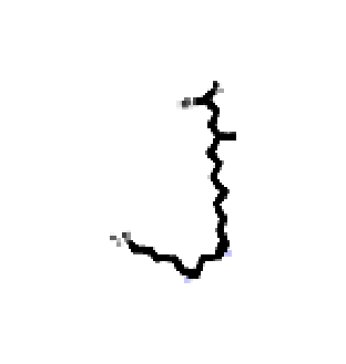 C=C(CCCCCCC/C=C\C/C=C\CCCCN)CCC(CC)CCC